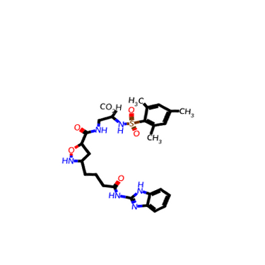 Cc1cc(C)c(S(=O)(=O)NC(CNC(=O)C2CC(CCCC(=O)Nc3nc4ccccc4[nH]3)NO2)C(=O)O)c(C)c1